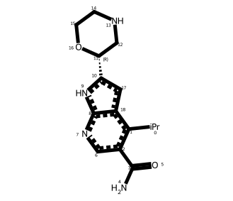 CC(C)c1c(C(N)=O)cnc2[nH]c([C@H]3CNCCO3)cc12